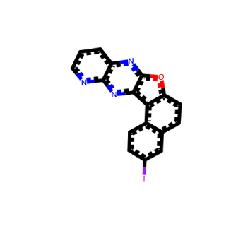 Ic1ccc2c(ccc3oc4nc5cccnc5nc4c32)c1